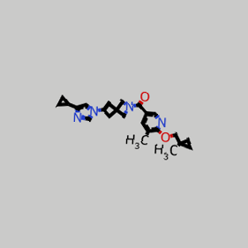 Cc1cc(C(=O)N2CC3(CC(n4cnc(C5CC5)c4)C3)C2)cnc1OCC1(C)CC1